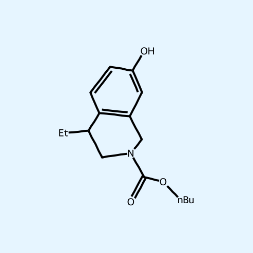 CCCCOC(=O)N1Cc2cc(O)ccc2C(CC)C1